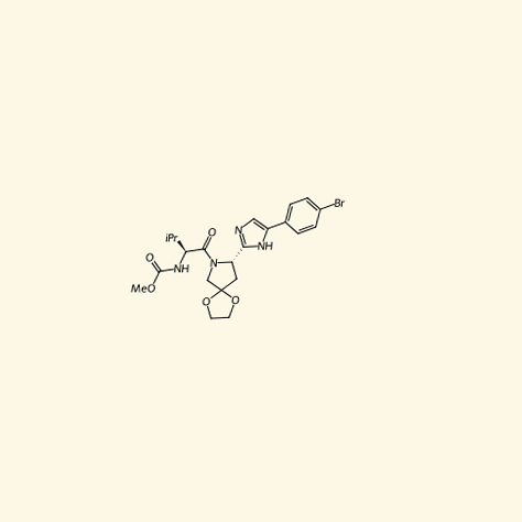 COC(=O)N[C@H](C(=O)N1CC2(C[C@H]1c1ncc(-c3ccc(Br)cc3)[nH]1)OCCO2)C(C)C